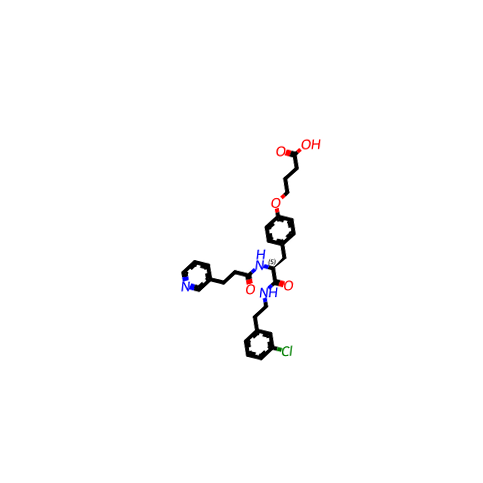 O=C(O)CCCOc1ccc(C[C@H](NC(=O)CCc2cccnc2)C(=O)NCCc2cccc(Cl)c2)cc1